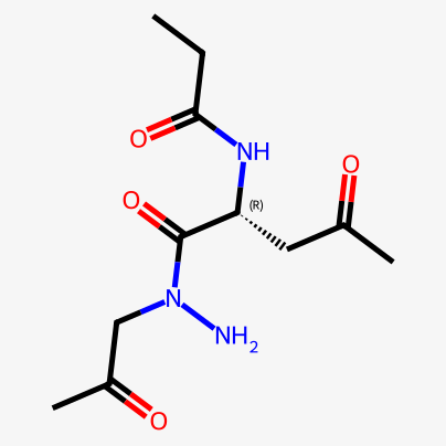 CCC(=O)N[C@H](CC(C)=O)C(=O)N(N)CC(C)=O